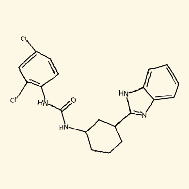 O=C(Nc1ccc(Cl)cc1Cl)NC1CCCC(c2nc3ccccc3[nH]2)C1